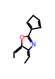 C/C=c1/nc(C2=CCC=C2)o/c1=C/C